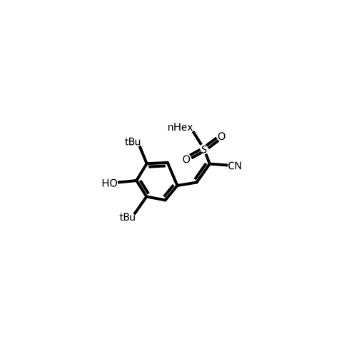 CCCCCCS(=O)(=O)/C(C#N)=C\c1cc(C(C)(C)C)c(O)c(C(C)(C)C)c1